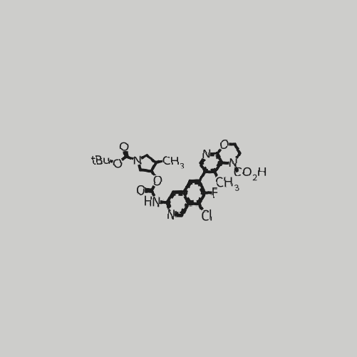 Cc1c(-c2cc3cc(NC(=O)OC4CN(C(=O)OC(C)(C)C)CC4C)ncc3c(Cl)c2F)cnc2c1N(C(=O)O)CCO2